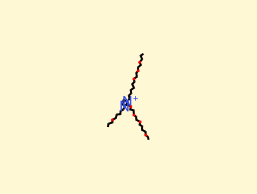 CCCCCCCCCCCCCCCCC[n+]1ccn(CCCCCCCCC)c1CCCCCCCCCCCCCC